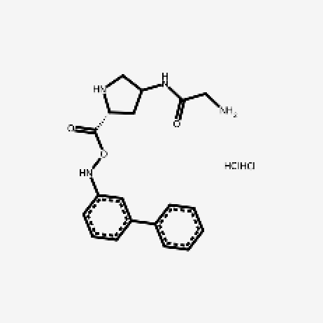 Cl.Cl.NCC(=O)NC1CN[C@@H](C(=O)ONc2cccc(-c3ccccc3)c2)C1